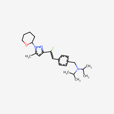 Cc1cc(C(F)=Cc2ccc(CN(C(C)C)C(C)C)cc2)nn1C1CCCCO1